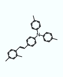 Cc1ccc(N(c2ccc(C)cc2)c2ccc(C=Cc3ccc(C)cc3C)cc2)cc1